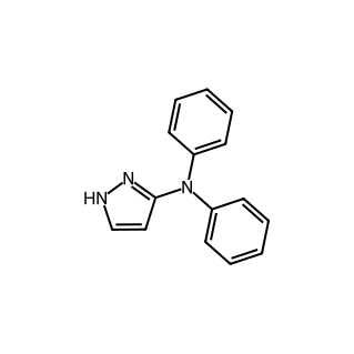 c1ccc(N(c2ccccc2)c2cc[nH]n2)cc1